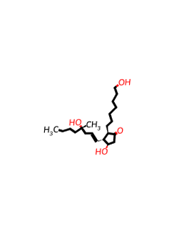 CCCC[C@](C)(O)CC=C[C@H]1[C@H](O)CC(=O)[C@@H]1CCCCCCCO